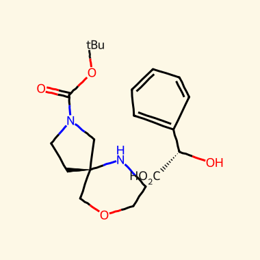 CC(C)(C)OC(=O)N1CC[C@@]2(COCCN2)C1.O=C(O)[C@@H](O)c1ccccc1